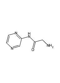 NCC(=O)Nc1cnccn1